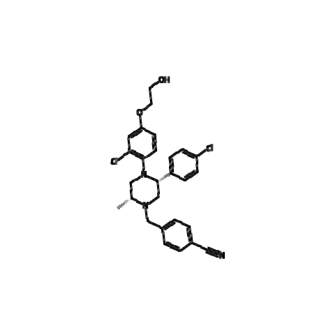 C[C@@H]1CN(c2ccc(OCCO)cc2Cl)[C@H](c2ccc(Cl)cc2)CN1Cc1ccc(C#N)cc1